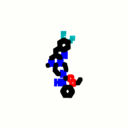 CCOc1ccccc1NC(=O)N1CCCN(c2nc3cc(F)c(F)cc3cc2/C=N/C)CC1